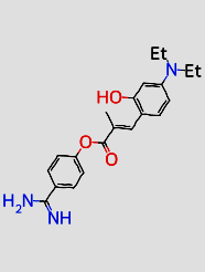 CCN(CC)c1ccc(/C=C(\C)C(=O)Oc2ccc(C(=N)N)cc2)c(O)c1